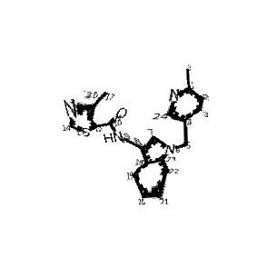 Cc1ccc(Cn2cc(NC(=O)c3scnc3C)c3ccccc32)cn1